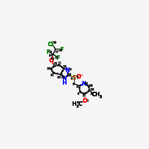 COc1cc(C[S+]([O-])c2nc3cc(OC(F)(F)C(F)Cl)ccc3[nH]2)ncc1C